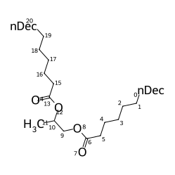 CCCCCCCCCCCCCCCC(=O)OCC(C)OC(=O)CCCCCCCCCCCCCCC